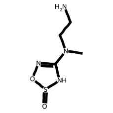 CN(CCN)C1=NOS(=O)N1